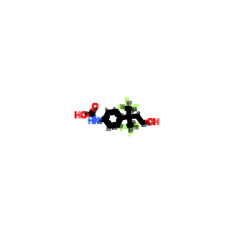 O=C(O)Nc1ccc(C(CCO)(C(F)(F)F)C(F)(F)F)cc1